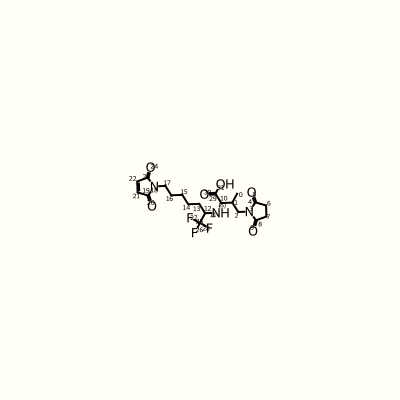 CC(CN1C(=O)CCC1=O)[C@H](NC(CCCCCN1C(=O)C=CC1=O)C(F)(F)F)C(=O)O